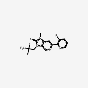 Cn1c(=O)n(CC(F)(F)C(F)(F)F)c2cnc(-c3ncccc3F)cc21